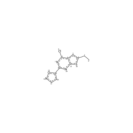 CCc1cc2c(Cl)nc(-c3ccno3)nc2s1